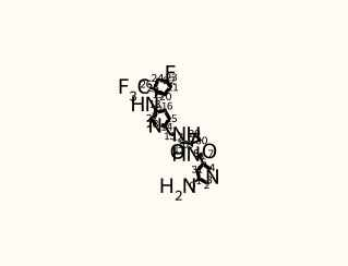 Nc1cncc(C(=O)NC2(C(=O)NCc3ccc(Nc4ccc(F)cc4C(F)(F)F)cn3)CC2)c1